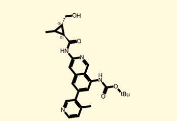 Cc1ccncc1-c1cc(NC(=O)OC(C)(C)C)c2cnc(NC(=O)[C@H]3C(C)[C@@H]3CO)cc2c1